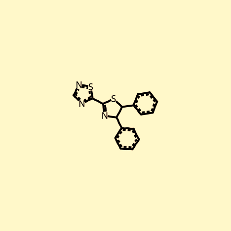 c1ccc(C2N=C(c3ncns3)SC2c2ccccc2)cc1